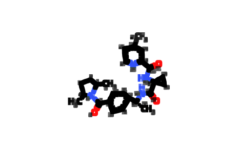 CC1CCC(C)N1C(=O)c1ccc([C@@H](C)NC(=O)C2(NC(=O)c3cc(C(F)(F)F)ccn3)CC2)cc1